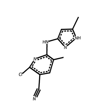 Cc1cc(Nc2nc(Cl)c(C#N)cc2C)n[nH]1